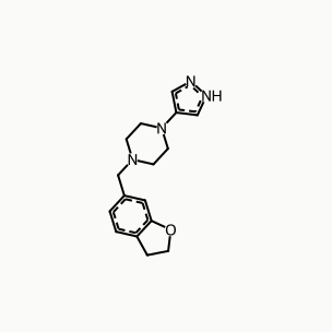 c1cc2c(cc1CN1CCN(c3cn[nH]c3)CC1)OCC2